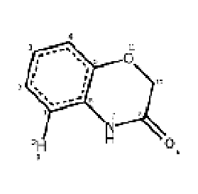 [2H]c1cccc2c1NC(=O)CO2